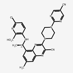 Cc1cc([C@@H](C)Nc2ccc(Cl)nc2C(=O)O)c2nc(N3CCN(c4ncc(C#N)cn4)CC3)c(C#N)nc2c1